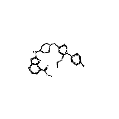 CCOc1cc(CN2CCC(Nc3nc4cccc(C(=O)OC)c4o3)CC2)ccc1-c1ccc(F)cc1